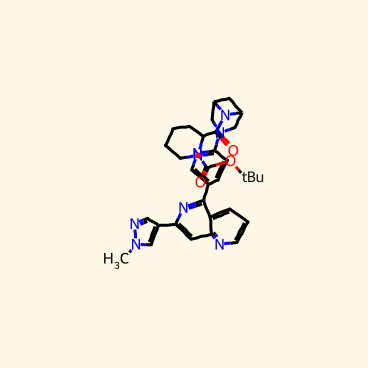 Cn1cc(-c2cc3ncccc3c(-c3ccc(N4CC5CC(C4)N5C(=O)C4CCCCN4C(=O)OC(C)(C)C)nc3)n2)cn1